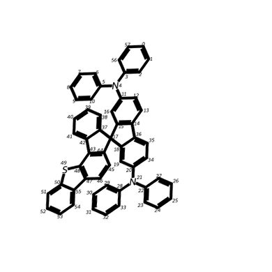 c1ccc(N(c2ccccc2)c2ccc3c(c2)C2(c4cc(N(c5ccccc5)c5ccccc5)ccc4-3)c3ccccc3-c3c2ccc2c3sc3ccccc32)cc1